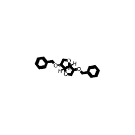 c1ccc(COC2CO[C@@H]3[C@@H](OCc4ccccc4)CO[C@H]23)cc1